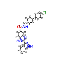 O=C(NCc1ccc(-c2ccc(Cl)cc2)cc1)c1ccc2[nH]c(-c3n[nH]c4ccccc34)nc2c1